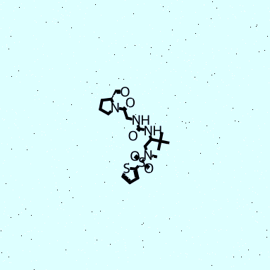 CN(CC(NC(=O)NCC(=O)N1CCC[C@H]1C=O)C(C)(C)C)S(=O)(=O)c1cccs1